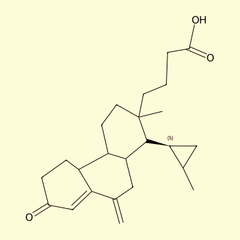 C=C1CC2C(CCC(C)(CCCC(=O)O)C2[C@H]2CC2C)C2CCC(=O)C=C12